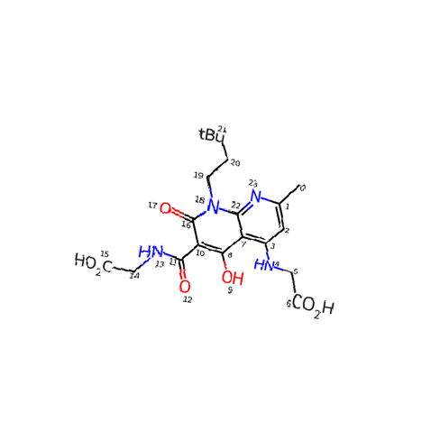 Cc1cc(NCC(=O)O)c2c(O)c(C(=O)NCC(=O)O)c(=O)n(CCC(C)(C)C)c2n1